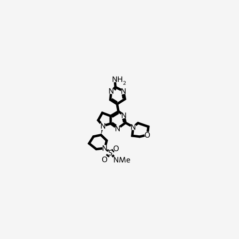 CNS(=O)(=O)N1CCC[C@H](N2CCc3c(-c4cnc(N)nc4)nc(N4CCOCC4)nc32)C1